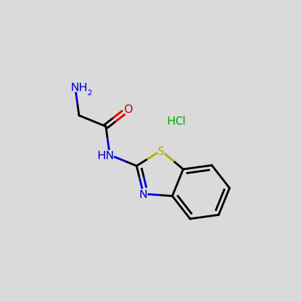 Cl.NCC(=O)Nc1nc2ccccc2s1